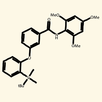 COc1cc(OC)c(NC(=O)c2cccc(Oc3ccccc3[Si](C)(C)C(C)(C)C)c2)c(OC)c1